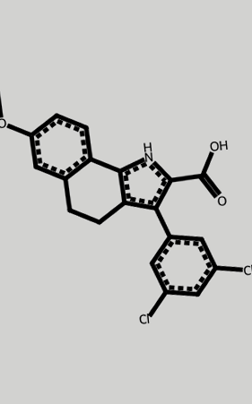 COc1ccc2c(c1)CCc1c-2[nH]c(C(=O)O)c1-c1cc(Cl)cc(Cl)c1